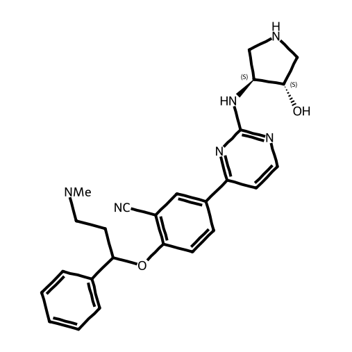 CNCCC(Oc1ccc(-c2ccnc(N[C@H]3CNC[C@@H]3O)n2)cc1C#N)c1ccccc1